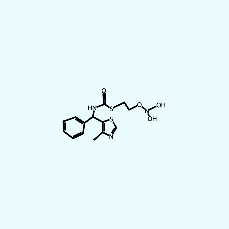 Cc1ncsc1C(NC(=O)SCCON(O)O)c1ccccc1